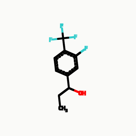 CCC(O)c1ccc(C(F)(F)F)c(F)c1